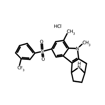 Cc1cc(S(=O)(=O)c2cccc(C(F)(F)F)c2)cc2c3c(n(C)c12)CC1CCC3N1.Cl